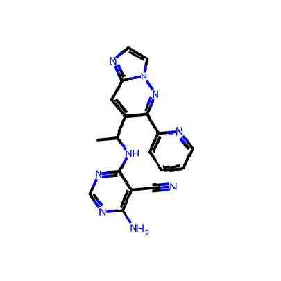 CC(Nc1ncnc(N)c1C#N)c1cc2nccn2nc1-c1ccccn1